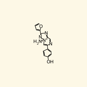 N[N+]12C=C(c3ccc(O)cc3)N=CC1=NC(c1ccco1)=N2